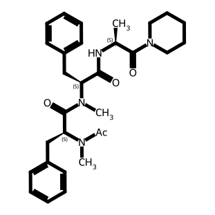 CC(=O)N(C)[C@@H](Cc1ccccc1)C(=O)N(C)[C@@H](Cc1ccccc1)C(=O)N[C@@H](C)C(=O)N1CCCCC1